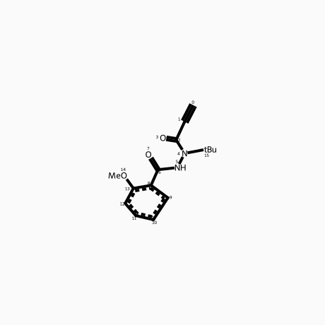 C#CC(=O)N(NC(=O)c1ccccc1OC)C(C)(C)C